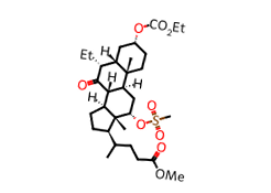 CCOC(=O)O[C@@H]1CC[C@]2(C)[C@H]3C[C@H](OS(C)(=O)=O)[C@]4(C)[C@@H](C(C)CCC(=O)OC)CC[C@H]4[C@@H]3C(=O)[C@H](CC)[C@@H]2C1